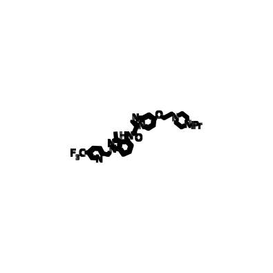 Cc1nn(Cc2ccc(C(F)(F)F)cn2)c2cccc(NC(=O)c3cnc4cc(OCCN5CCN(C(C)C)CC5)ccn34)c12